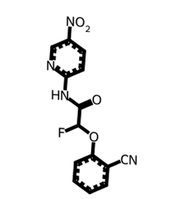 N#Cc1ccccc1OC(F)C(=O)Nc1ccc([N+](=O)[O-])cn1